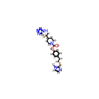 CC(Sc1nnn[nH]1)C1CCN(C(=O)Oc2ccc(CCSc3nccn3C)cc2)CC1